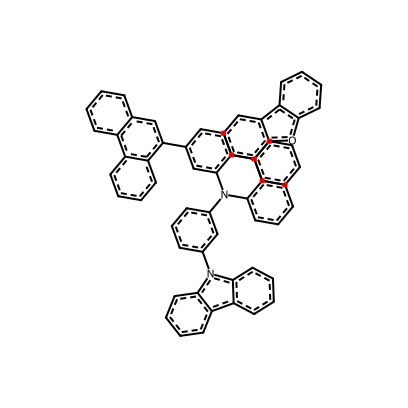 c1ccc(-c2ccc(-c3cc4ccccc4c4ccccc34)cc2N(c2cccc(-n3c4ccccc4c4ccccc43)c2)c2ccccc2-c2cccc3c2oc2ccccc23)cc1